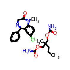 CCCC(C)(COC(N)=O)COC(N)=O.CN1C(=O)CN=C(c2ccccc2)c2cc(Cl)ccc21